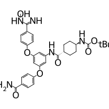 CC(C)(C)OC(=O)N[C@H]1CC[C@H](C(=O)Nc2cc(Oc3ccc(C(=N)NO)cc3)cc(Oc3ccc(C(N)=O)cc3)c2)CC1